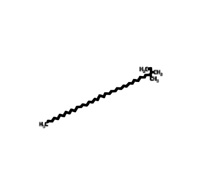 C=CC(C)C(C)CCCCCCCCCCCCCCCCCCCCCCCCCCCCCCCCCCCC